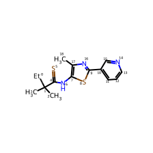 CCC(C)(C)C(=S)Nc1sc(-c2cccnc2)nc1C